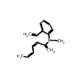 C=Cc1ccccc1N(C)C(=C)/C=C\C=C/C